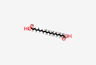 O=C(O)C=CCCCCCCCCCCCCCCCCC(=O)O